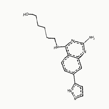 Nc1nc(NCCCCCO)c2ccc(-c3ccn[nH]3)cc2n1